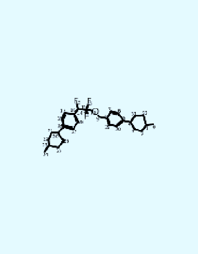 CC1CCC(c2ccc(COC(F)(F)C(F)c3ccc(C4CCC(C)CC4)cc3)cc2)CC1